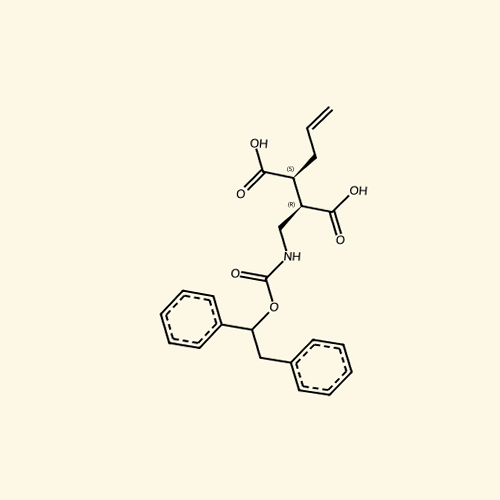 C=CC[C@H](C(=O)O)[C@H](CNC(=O)OC(Cc1ccccc1)c1ccccc1)C(=O)O